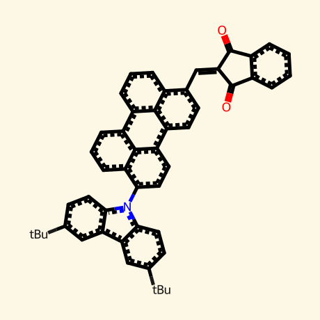 CC(C)(C)c1ccc2c(c1)c1cc(C(C)(C)C)ccc1n2-c1ccc2c3ccc(C=C4C(=O)c5ccccc5C4=O)c4cccc(c5cccc1c52)c43